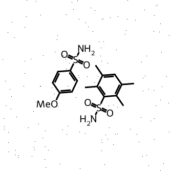 COc1ccc(S(N)(=O)=O)cc1.Cc1cc(C)c(C)c(S(N)(=O)=O)c1C